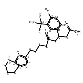 O=C(O)CC(CC(=O)CCCCc1ccc2c(n1)NCCC2)c1ccc(F)c(C(F)(F)F)c1